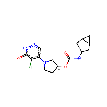 O=C(NC1CC2CC2C1)O[C@@H]1CCN(c2cn[nH]c(=O)c2Cl)C1